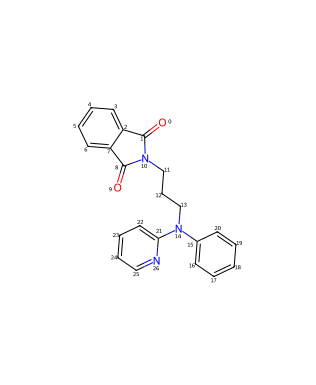 O=C1c2ccccc2C(=O)N1CCCN(c1ccccc1)c1ccccn1